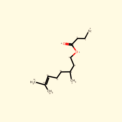 CC(=O)CCC(=O)OCCC(C)CCC=C(C)C